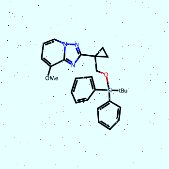 COc1cccn2nc(C3(CO[Si](c4ccccc4)(c4ccccc4)C(C)(C)C)CC3)nc12